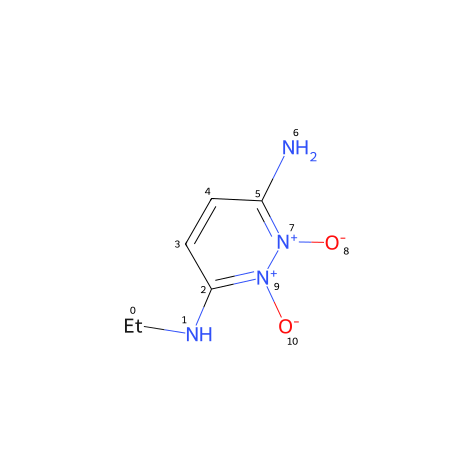 CCNc1ccc(N)[n+]([O-])[n+]1[O-]